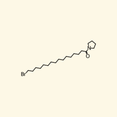 O=C(CCCCCCCCCCCCCCCBr)N1CCCC1